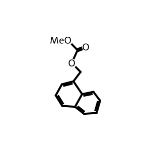 COC(=O)OCc1cccc2ccccc12